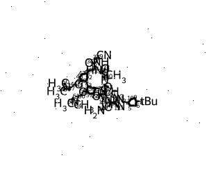 Cc1nc(-c2ccc(C(C)(C)C)cc2)ncc1C(=O)NC(CCN)C(=O)N(C)C1C(=O)NC(C)C(=O)NC(C(=O)NCC#N)Cc2ccc(OCCN(C)C)c(c2)-c2cc1ccc2OCCN(C)C